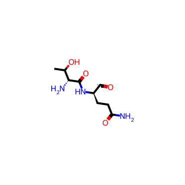 CC(O)[C@@H](N)C(=O)N[C@@H]([C]=O)CCC(N)=O